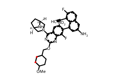 C#Cc1c(F)ccc2cc(N)cc(-c3c([N+](=O)[O-])cc4c(N5C[C@H]6CC[C@@H](C5)N6)nc(OCC56CCC(OC)(CC5)CC6)nc4c3F)c12